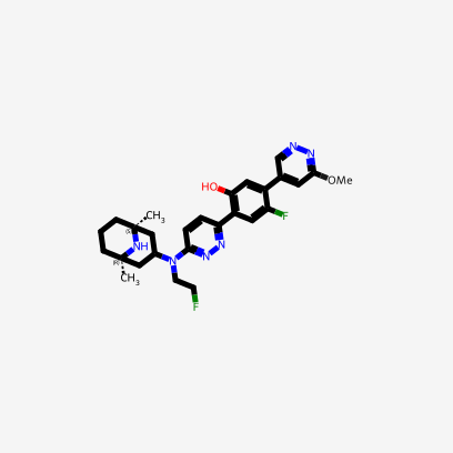 COc1cc(-c2cc(O)c(-c3ccc(N(CCF)C4C[C@]5(C)CCC[C@](C)(C4)N5)nn3)cc2F)cnn1